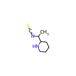 CC(N=C=S)C1CCCCN1